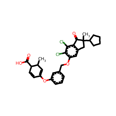 CC1C=C(Oc2cccc(COc3cc4c(c(Cl)c3Cl)C(=O)C(C)(C3CCCC3)C4)c2)C=CC1C(=O)O